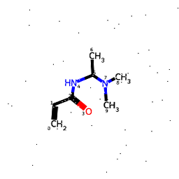 C=CC(=O)NC(C)N(C)C